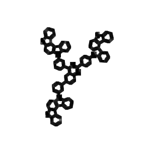 c1cc(-c2ccc3nc(-c4ccc(-n5c6ccccc6c6c7c(ccc65)sc5ccccc57)cc4)nc(-c4cccc(-n5c6ccccc6c6c7c(ccc65)sc5ccccc57)c4)c3c2)cc(-n2c3ccccc3c3c4c(ccc32)sc2ccccc24)c1